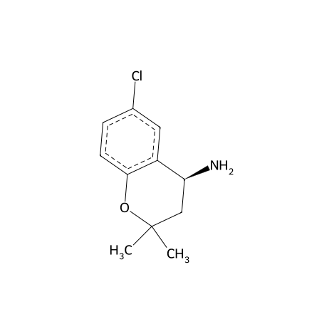 CC1(C)C[C@H](N)c2cc(Cl)ccc2O1